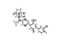 Cn1ccc(-c2cc(O)c(-c3cnc(N(C4CC4)[C@@H]4C[C@H]5CC[C@H](N5)[C@@H]4F)cn3)cc2F)cc1=O